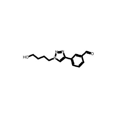 O=Cc1cccc(-c2cn(CCCCO)nn2)c1